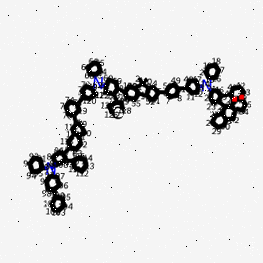 CC1(C)c2cc(-c3ccc(-c4ccc(N(c5ccccc5)c5ccc(-c6c7ccccc7cc7ccccc67)c(-c6ccccc6)c5)cc4)cc3)ccc2-c2ccc(-c3ccc(N(c4ccccc4)c4ccc(-c5cccc(-c6ccc7ccc(-c8ccc(N(c9ccccc9)c9ccc(-c%10ccccc%10)cc9)cc8-c8ccccc8)cc7c6)c5)cc4)cc3-c3ccccc3)cc21